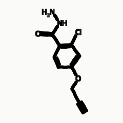 C#CCOc1ccc(C(=O)NN)c(Cl)c1